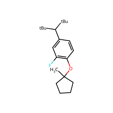 CC1(Oc2ccc(C(C(C)(C)C)C(C)(C)C)cc2F)CCCC1